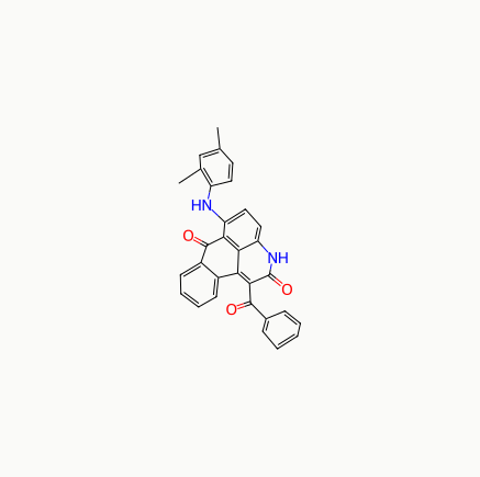 Cc1ccc(Nc2ccc3[nH]c(=O)c(C(=O)c4ccccc4)c4c3c2C(=O)c2ccccc2-4)c(C)c1